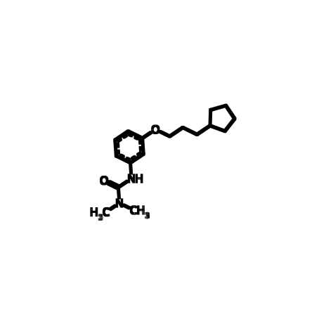 CN(C)C(=O)Nc1cccc(OCCCC2CCCC2)c1